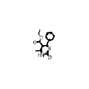 CCOC(=O)c1c(-c2ccccc2)nc(=O)[nH]c1C